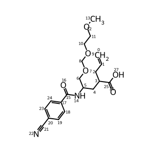 C=CCC(CC(COCOCCOC)NC(=O)c1ccc(C#N)cc1)C(=O)O